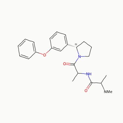 CNC(C)C(=O)NC(C)C(=O)N1CCC[C@H]1c1cccc(Oc2ccccc2)c1